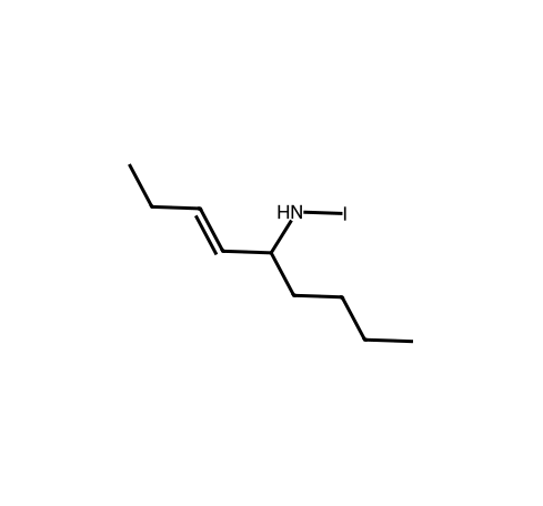 CC/C=C/C(CCCC)NI